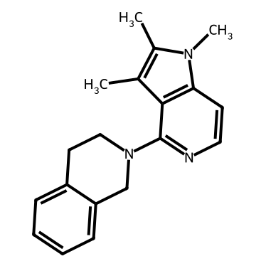 Cc1c(C)n(C)c2ccnc(N3CCc4ccccc4C3)c12